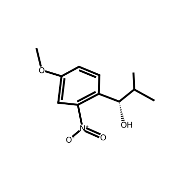 COc1ccc([C@@H](O)C(C)C)c([N+](=O)[O-])c1